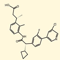 Cc1c(NC(=O)[C@H](c2ccc(-c3cncc(Cl)c3)c(F)c2)C2CCC2)cccc1[C@@H](C)CC(=O)O